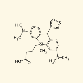 CN(C)c1ccc2c(c1)[Si](C)(CCCC(=O)O)c1cc(N(C)C)ccc1C2c1ccsc1